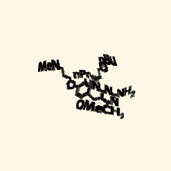 CCCCOCC[C@H](CCC)Nc1nc(N)nc(C)c1Cc1ccc(OCCCNC)cc1OC